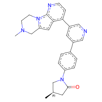 C[C@@H]1CC(=O)N(c2ccc(-c3cncc(-c4ccnc5c4cc4n5CCN(C)C4)c3)cc2)C1